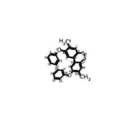 Cc1cc2c(cc1Oc1ccccc1)-c1cc(Oc3ccccc3)c(C)cc1SS2